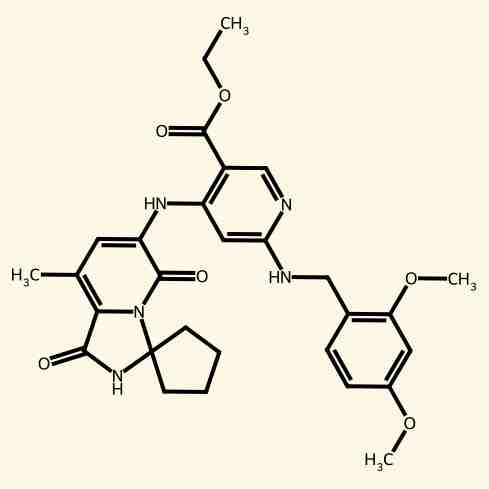 CCOC(=O)c1cnc(NCc2ccc(OC)cc2OC)cc1Nc1cc(C)c2n(c1=O)C1(CCCC1)NC2=O